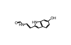 O=CNC=Cc1cc2ccc(O)cc2[nH]1